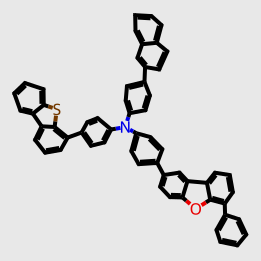 c1ccc(-c2cccc3c2oc2ccc(-c4ccc(N(c5ccc(-c6ccc7ccccc7c6)cc5)c5ccc(-c6cccc7c6sc6ccccc67)cc5)cc4)cc23)cc1